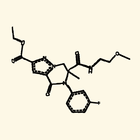 CCOC(=O)c1cc2n(n1)CC(C)(C(=O)NCCOC)N(c1cccc(F)c1)C2=O